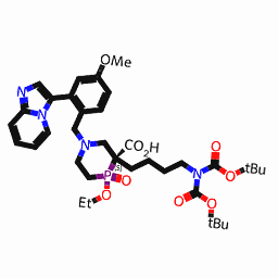 CCOP1(=O)CCN(Cc2ccc(OC)cc2-c2cnc3ccccn23)C[C@@]1(CCCCN(C(=O)OC(C)(C)C)C(=O)OC(C)(C)C)C(=O)O